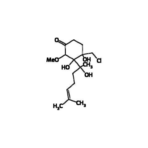 COC1C(=O)CCC(O)(CCl)C1(O)C(C)(O)CCC=C(C)C